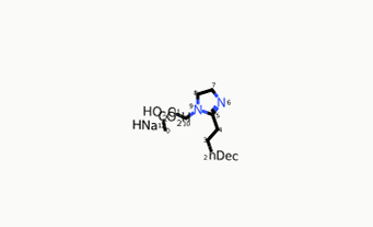 CC(=O)O.CCCCCCCCCCCCC1=NCCN1CC(=O)O.[NaH]